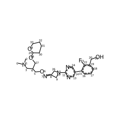 CN(C)CC(CON=C1CN(c2ncc(-c3cccc(CO)c3F)cn2)C1)COC1CCCCO1